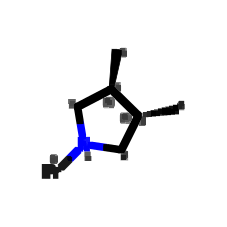 CC(C)N1C[C@@H](C)[C@H](C)C1